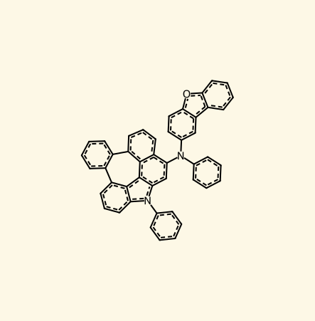 c1ccc(N(c2ccc3oc4ccccc4c3c2)c2cc3c4c5c(cccc25)-c2ccccc2-c2cccc(c24)n3-c2ccccc2)cc1